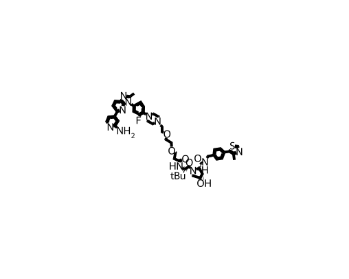 Cc1ncsc1-c1ccc(CNC(=O)[C@@H]2C[C@@H](O)CN2C(=O)[C@@H](NC(=O)CCOCCOCCN2CCN(c3ccc(-n4c(C)nc5ccc(-c6ccnc(N)c6)nc54)cc3F)CC2)C(C)(C)C)cc1